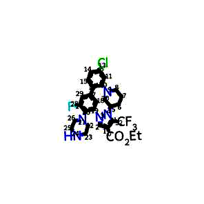 CCOC(=O)c1cnn(C2CCCN(c3cc(Cl)ccc3-c3ccc(N4CCNCC4)c(F)c3)C2)c1C(F)(F)F